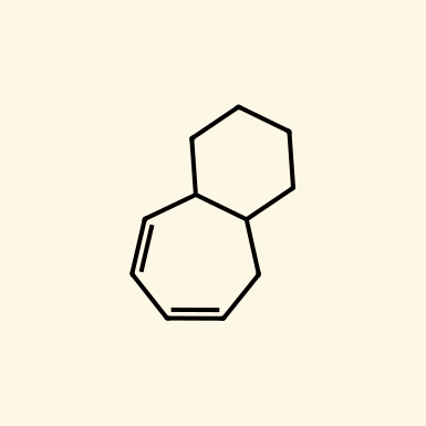 C1=CCC2CCCCC2C=C1